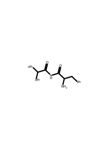 CCCC(CCC)C(=O)NC(=O)C(N)CC(C)C